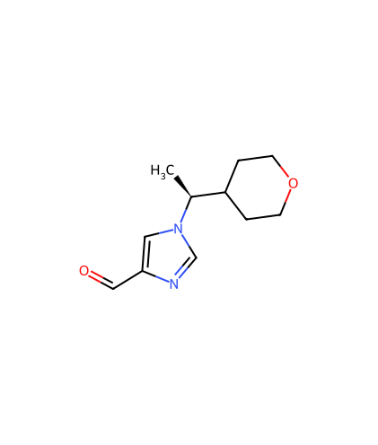 C[C@@H](C1CCOCC1)n1cnc(C=O)c1